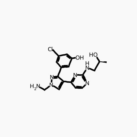 C[C@H](O)CNc1nccc(-c2cn(CN)nc2-c2cc(O)cc(Cl)c2)n1